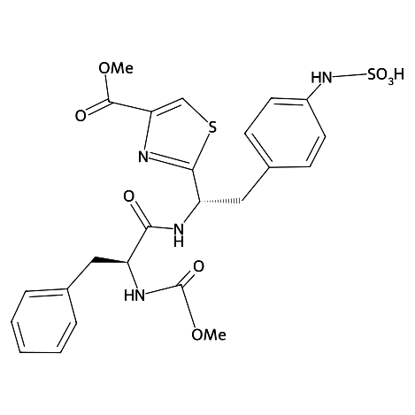 COC(=O)N[C@@H](Cc1ccccc1)C(=O)N[C@@H](Cc1ccc(NS(=O)(=O)O)cc1)c1nc(C(=O)OC)cs1